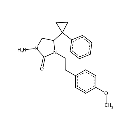 COc1ccc(CCN2C(=O)N(N)CC2C2(c3ccccc3)CC2)cc1